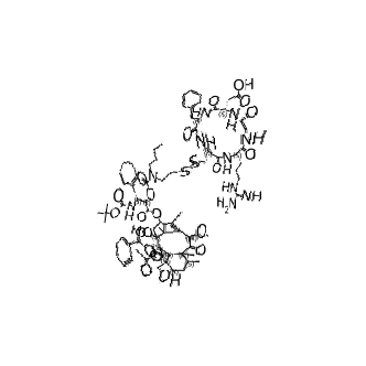 CCCCN(CCSSC[C@@H]1NC(=O)[C@@H](Cc2ccccc2)NC(=O)[C@H](CC(=O)O)NC(=O)CNC(=O)[C@H](CCCNC(=N)N)NC1=O)C(=O)O[C@@H](C(=O)OC1C[C@@]2(O)[C@@H](OC(=O)c3ccccc3)[C@@H]3[C@]4(OC(C)=O)CO[C@@H]4C[C@H](C)[C@@]3(C)C(=O)[C@H](OC)C(=C1C)C2(C)C)[C@@H](NC(=O)OC(C)(C)C)c1ccccc1